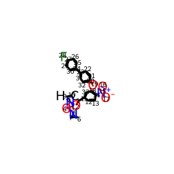 CC(OP(=O)(N1CC1)N1CC1)c1ccc([N+](=O)[O-])c(Oc2ccc(-c3ccc(F)cc3)cc2)c1